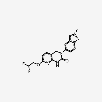 Cn1cc2cc(N3Cc4ccc(OCC(F)F)nc4NC3=O)ccc2n1